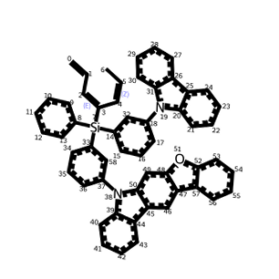 C=C/C=C(\C=C/C)[Si](c1ccccc1)(c1cccc(-n2c3ccccc3c3ccccc32)c1)c1cccc(-n2c3ccccc3c3cc4c(cc32)oc2ccccc24)c1